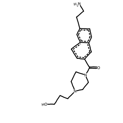 NCCc1ccc2cc(C(=O)N3CCN(CCCO)CC3)ccc2c1